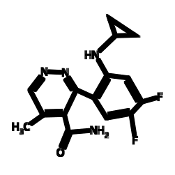 Cc1cnnc(-c2cc(F)c(F)cc2NC2CC2)c1C(N)=O